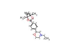 CCN1CCOC(c2ccc(B3OC(C)(C)C(C)(C)O3)cc2)C1